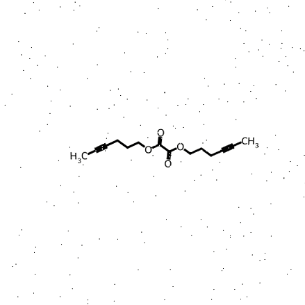 CC#CCCCOC(=O)C(=O)OCCCC#CC